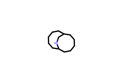 C1CCC2CCCCCC(CC1)NC2